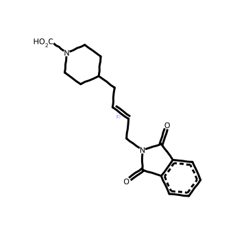 O=C(O)N1CCC(C/C=C/CN2C(=O)c3ccccc3C2=O)CC1